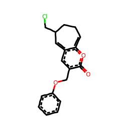 O=c1oc2c(cc1COc1ccccc1)=CC(CCl)CCC=2